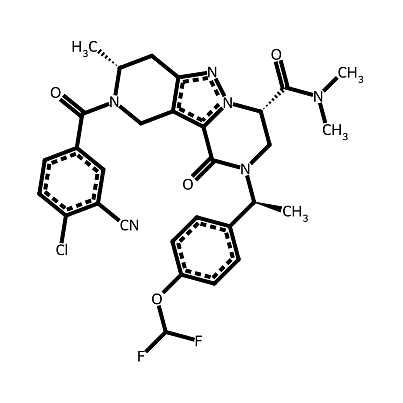 C[C@@H]1Cc2nn3c(c2CN1C(=O)c1ccc(Cl)c(C#N)c1)C(=O)N([C@@H](C)c1ccc(OC(F)F)cc1)C[C@H]3C(=O)N(C)C